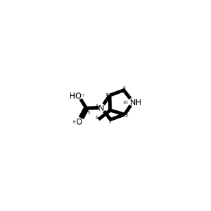 CC1C2CN(C(=O)O)C1CN2